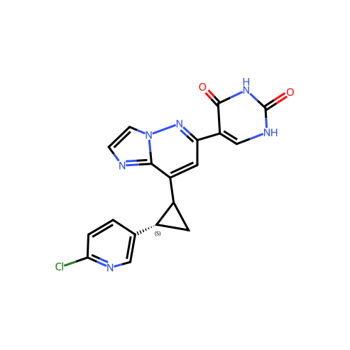 O=c1[nH]cc(-c2cc(C3C[C@@H]3c3ccc(Cl)nc3)c3nccn3n2)c(=O)[nH]1